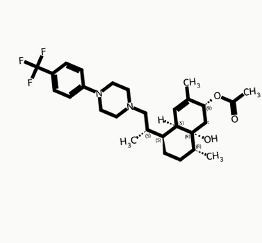 CC(=O)O[C@@H]1[C][C@@]2(O)[C@H](C)CC[C@@H]([C@H](C)CN3CCN(c4ccc(C(F)(F)F)cc4)CC3)[C@H]2C=C1C